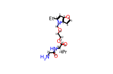 CCc1cc2occc2n1COCCOC(=O)[C@@H](NC(=O)CN)C(C)C